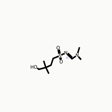 CN(C)/C=N/S(=O)(=O)CCC(C)(C)CO